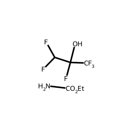 CCOC(N)=O.OC(F)(C(F)F)C(F)(F)F